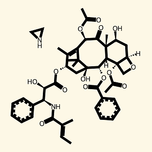 C/C=C(\C)C(=O)N[C@@H](c1ccccc1)[C@@H](O)C(=O)O[C@H]1C[C@@]2(O)[C@@H](OC(=O)c3ccccc3)[C@@H]3[C@]4(OC(C)=O)CO[C@@H]4C[C@H](O)[C@@]3(C)C(=O)[C@H](OC(C)=O)C(=C1C)C2(C)C.C1CN1